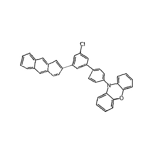 Clc1cc(-c2ccc(N3c4ccccc4Oc4ccccc43)cc2)cc(-c2ccc3cc4ccccc4cc3c2)c1